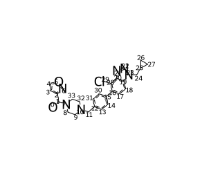 O=C(c1ccon1)N1CCN(Cc2ccc(-c3ccc4c(nnn4CC4CC4)c3Cl)cc2)CC1